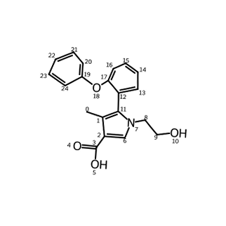 Cc1c(C(=O)O)cn(CCO)c1-c1ccccc1Oc1ccccc1